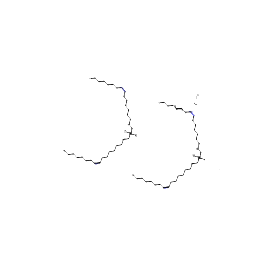 CC(C)[O][Al+2].CCCCCCCC/C=C\CCCCCCCCC(CCCCCCCC/C=C\CCCCCCCC)(C(C)=O)C(=O)[O-].CCCCCCCC/C=C\CCCCCCCCC(CCCCCCCC/C=C\CCCCCCCC)(C(C)=O)C(=O)[O-]